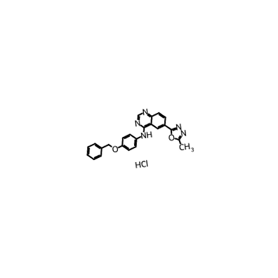 Cc1nnc(-c2ccc3ncnc(Nc4ccc(OCc5ccccc5)cc4)c3c2)o1.Cl